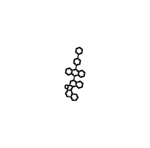 c1ccc(-c2ccc(-c3c4ccccc4c(-c4cc5oc6ccc7ccccc7c6c5c5ccccc45)c4ccccc34)cc2)cc1